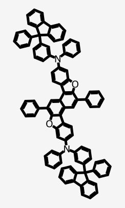 c1ccc(-c2cc3c(cc(-c4ccccc4)c4oc5cc(N(c6ccccc6)c6cccc(C7(c8ccccc8)c8ccccc8-c8ccccc87)c6)ccc5c43)c3c2oc2cc(N(c4ccccc4)c4cccc(C5(c6ccccc6)c6ccccc6-c6ccccc65)c4)ccc23)cc1